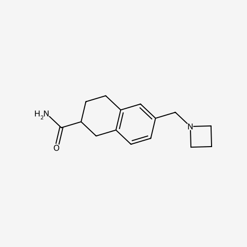 NC(=O)C1CCc2cc(CN3CCC3)ccc2C1